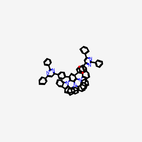 c1ccc(-c2cc(-c3ccc(-c4cc(-c5ccc(-c6cc(-c7ccccc7)nc(-c7ccccc7)n6)cc5)c(-n5c6ccccc6c6ccc7ccccc7c65)c(-n5c6ccccc6c6ccc7ccccc7c65)c4-n4c5ccccc5c5ccc6ccccc6c54)cc3)nc(-c3ccccc3)n2)cc1